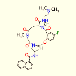 CN(C)CCNC(=O)[C@@H]1CCC(=O)N(C)CC(=O)N2C[C@@H](NC(=O)c3cccc4ccccc34)C[C@H]2COc2ccc(F)cc2C(=O)N1C